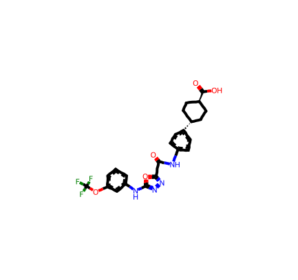 O=C(Nc1ccc([C@H]2CC[C@H](C(=O)O)CC2)cc1)c1nnc(Nc2cccc(OC(F)(F)F)c2)o1